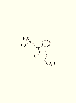 Cc1c(CCC(=O)O)c2ccccc2n1CCN(C)C